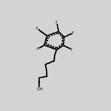 OCCCCc1c(F)c(F)c(F)c(F)c1F